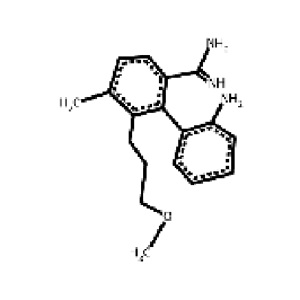 [CH2]c1ccc(C(=N)N)c(-c2ccccc2N)c1CCCOC